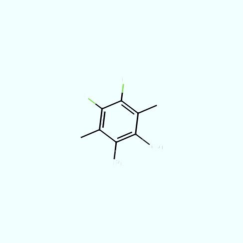 Cc1c(F)c(F)c(C)c(C(C)(C)C)c1C(C)(C)C